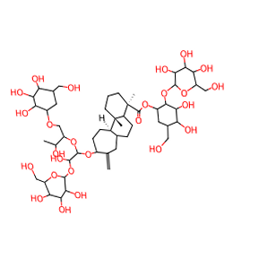 C=C1CC2CCC3[C@](C)(C(=O)OC4CC(CO)C(O)C(O)C4OC4OC(CO)C(O)C(O)C4O)CCC[C@@]3(C)[C@@H]2CCC1OC(OC(COC1CC(CO)C(O)C(O)C1O)C(C)O)C(O)OC1OC(CO)C(O)C(O)C1O